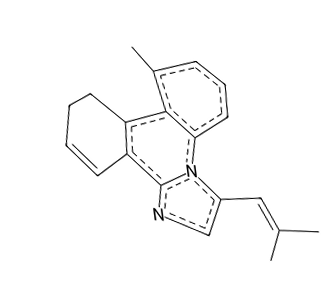 CC(C)=Cc1cnc2c3c(c4c(C)cccc4n12)CCC=C3